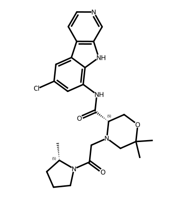 C[C@H]1CCCN1C(=O)CN1CC(C)(C)OC[C@H]1C(=O)Nc1cc(Cl)cc2c1[nH]c1cnccc12